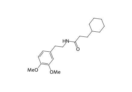 COc1ccc(CCNC(=O)CCC2CCCCC2)cc1OC